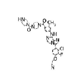 Cc1cc(Nc2nccn3c(-c4ccc(OCC#N)c(F)c4Cl)cnc23)ccc1C(=O)N1CCN(C(=O)N2CCNCC2)CC1